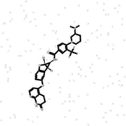 CN(C)C1CCCN(c2ccc(C(=O)N[C@@H]3[C@H]4Oc5ccc(Oc6ccnc7c6CCC(=O)N7)cc5[C@@H]34)cc2C(F)(F)F)C1